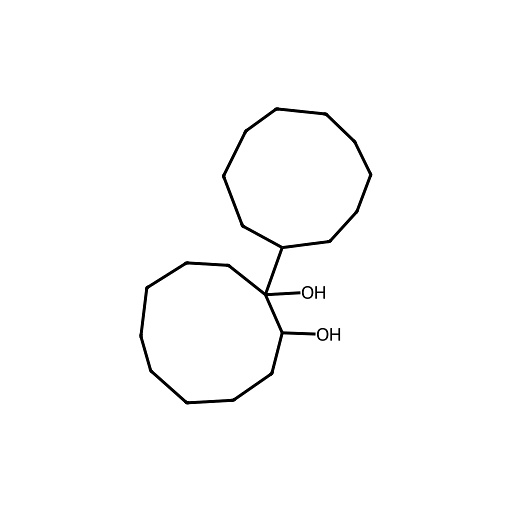 OC1CCCCCCCCC1(O)C1CCCCCCCCC1